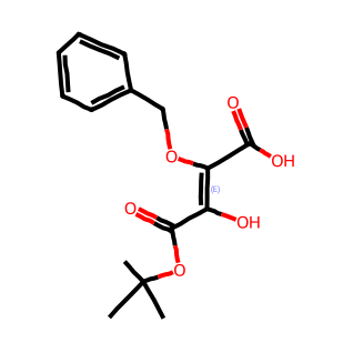 CC(C)(C)OC(=O)/C(O)=C(\OCc1ccccc1)C(=O)O